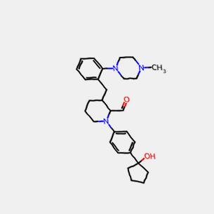 CN1CCN(c2ccccc2CC2CCCN(c3ccc(C4(O)CCCC4)cc3)C2C=O)CC1